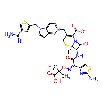 CC(C)(O/N=C(\C(=O)N[C@@H]1C(=O)N2C(C(=O)[O-])=C(C[n+]3ccc4c(ccn4Cc4cc(C(=N)N)cs4)c3)CS[C@H]12)c1csc(N)n1)C(=O)O